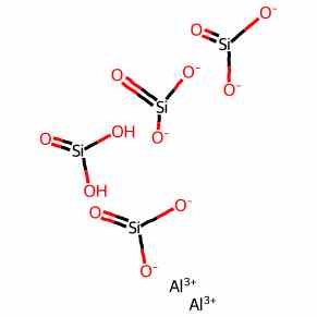 O=[Si](O)O.O=[Si]([O-])[O-].O=[Si]([O-])[O-].O=[Si]([O-])[O-].[Al+3].[Al+3]